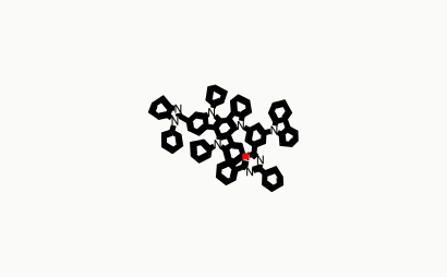 c1ccc(-c2nc(-c3ccccc3)nc(-c3cc(-n4c5ccccc5c5ccccc54)cc(-n4c5ccccc5c5c4c4c6ccccc6n(-c6ccccc6)c4c4c6ccc(-c7nc8ccccc8n7-c7ccccc7)cc6n(-c6ccccc6)c45)c3)n2)cc1